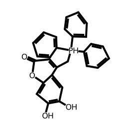 O=c1cc(C[PH](c2ccccc2)(c2ccccc2)c2ccccc2)c2cc(O)c(O)cc2o1